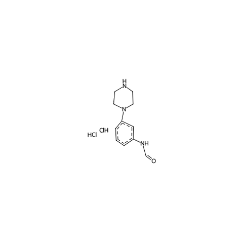 Cl.Cl.O=CNc1cccc(N2CCNCC2)c1